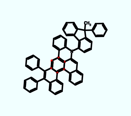 CC1(c2ccccc2)c2ccccc2-c2c(N(c3ccccc3-c3ccc4c(c3)c(-c3ccccc3)c(-c3ccccc3)c3ccccc34)c3cc4ccccc4c4ccccc34)cccc21